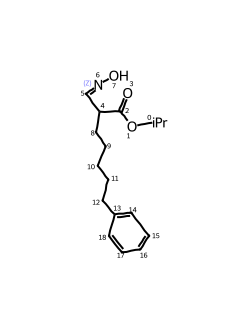 CC(C)OC(=O)C(/C=N\O)CCCCCc1ccccc1